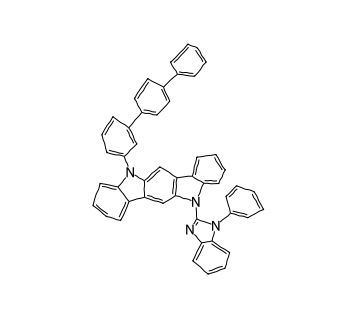 c1ccc(-c2ccc(-c3cccc(-n4c5ccccc5c5cc6c(cc54)c4ccccc4n6-c4nc5ccccc5n4-c4ccccc4)c3)cc2)cc1